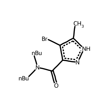 CCCCN(CCCC)C(=O)c1n[nH]c(C)c1Br